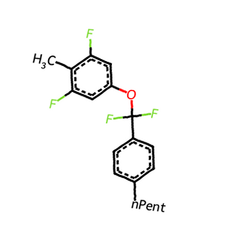 CCCCCc1ccc(C(F)(F)Oc2cc(F)c(C)c(F)c2)cc1